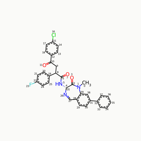 CN1C(=O)[C@@H](NC(=O)C(CC(=O)c2ccc(Cl)cc2)c2ccc(F)cc2)N=Cc2ccc(-c3ccccc3)cc21